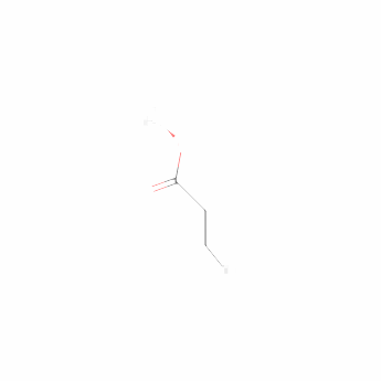 CC[C@H](C)OC(=O)CCC(C)C